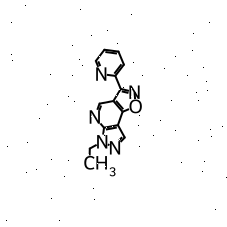 CCn1ncc2c3onc(-c4ccccn4)c3cnc21